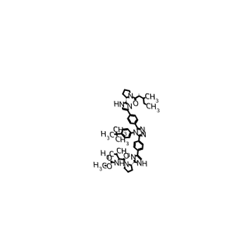 CCC(C)[CH]C(=O)N1CCC[C@H]1c1nc(-c2ccc(-c3nnc(-c4ccc(-c5c[nH]c([C@@H]6CCCN6C(=O)[C@@H](NC(=O)OC)C(C)C)n5)cc4)n3-c3ccc(C(C)(C)C)cc3)cc2)c[nH]1